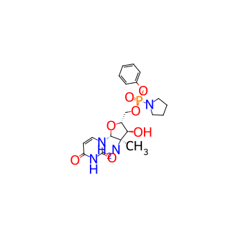 C[C@@]1(N)[C@H](O)[C@@H](COP(=O)(Oc2ccccc2)N2CCCC2)O[C@H]1n1ccc(=O)[nH]c1=O